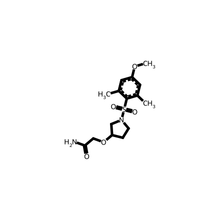 COc1cc(C)c(S(=O)(=O)N2CCC(OCC(N)=O)C2)c(C)c1